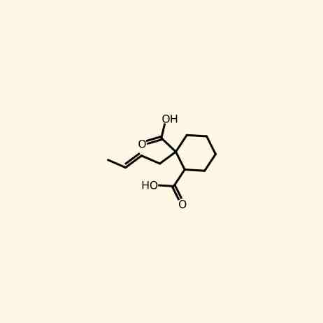 CC=CCC1(C(=O)O)CCCCC1C(=O)O